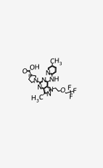 Cc1ccc(Nc2nc(N3CC[C@@H](C(=O)O)C3)nc3c(C)nn(CCOCC(F)(F)F)c23)nc1